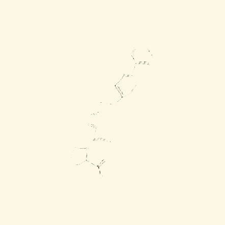 O=C(O)C1CCCN1C(=O)c1ccc(COc2ccc(-c3ccccc3)cc2)o1